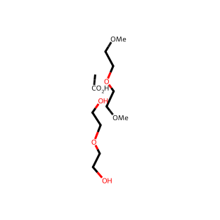 CC(=O)O.COCCOCCOC.OCCOCCO